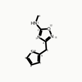 CNc1nc(Cc2cccs2)no1